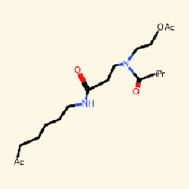 CC(=O)CCCCCNC(=O)CCN(CCOC(C)=O)C(=O)C(C)C